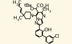 C=CC=CC1(C)CCN(c2c(C(OC(C)(C)C)C(=O)O)c(C)nc3cc(-c4cccc(-c5cccc(Cl)c5)c4O)nn23)CC1